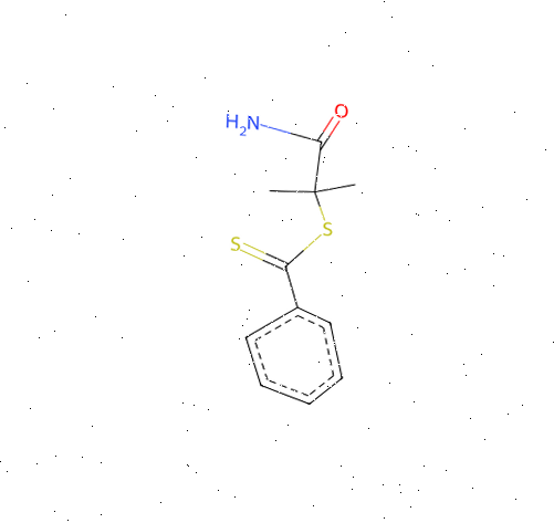 CC(C)(SC(=S)c1ccccc1)C(N)=O